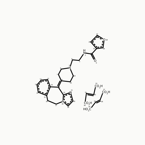 O=C(NCCN1CCC(=C2c3ccccc3CCn3ccnc32)CC1)c1ccoc1.O=C(O)C=CC(=O)O.O=C(O)C=CC(=O)O